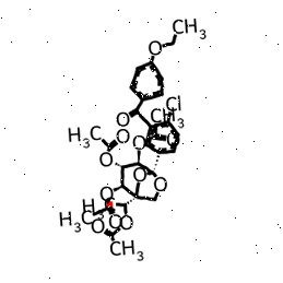 CCOc1ccc(C(=O)c2cc([C@]34OC[C@](C(C)OC(C)=O)(O3)[C@@H](OC(C)=O)[C@H](OC(C)=O)[C@H]4OC(C)=O)ccc2Cl)cc1